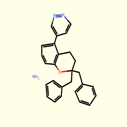 N.c1ccc(CC2(Cc3ccccc3)CCc3c(cccc3-c3ccnnc3)O2)cc1